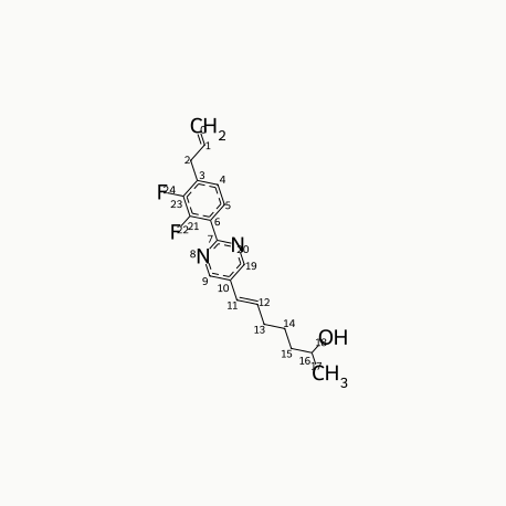 C=CCc1ccc(-c2ncc(/C=C/CCCC(C)O)cn2)c(F)c1F